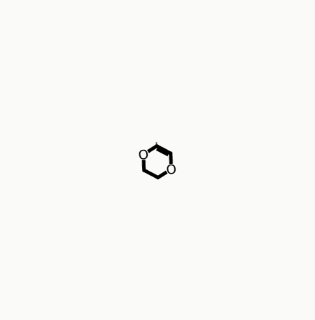 [C]1=COCCO1